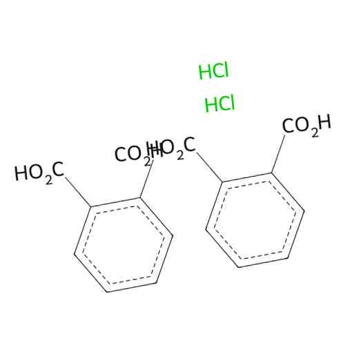 Cl.Cl.O=C(O)c1ccccc1C(=O)O.O=C(O)c1ccccc1C(=O)O